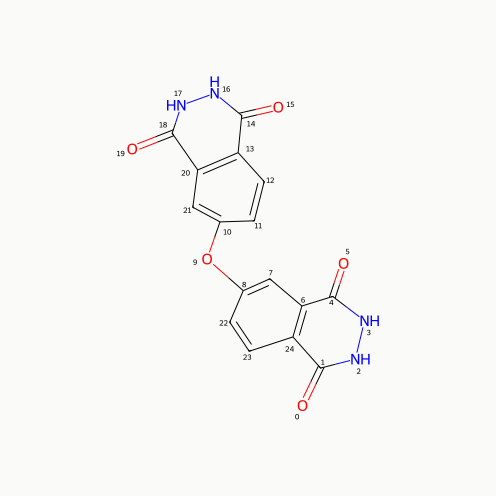 O=c1[nH][nH]c(=O)c2cc(Oc3ccc4c(=O)[nH][nH]c(=O)c4c3)ccc12